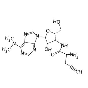 C#CC[C@H](N)C(=O)NC1[C@@H](CO)O[C@@H](n2cnc3c(N(C)C)ncnc32)[C@H]1O